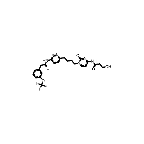 O=C(Cc1cccc(OC(F)(F)F)c1)Nc1ccc(CCCCn2ccc(NC(=O)CCO)nc2=O)nn1